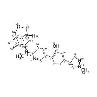 CN(c1ncc(-c2ccc(-c3cnn(C)c3)cc2O)nn1)[C@@H]1C[C@H]2COC[C@H](N2)[C@@H]1F